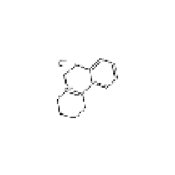 [Cl-].c1ccc2c(c1)CC[N+]1=C2CCCC1